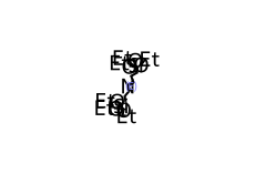 CCO[Si](CC/C=N/CCC[Si](OCC)(OCC)OCC)(OCC)OCC